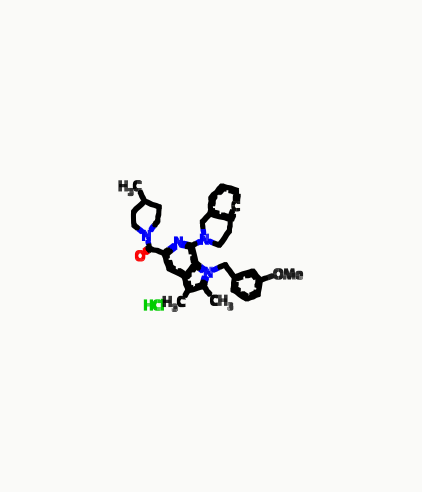 COc1cccc(Cn2c(C)c(C)c3cc(C(=O)N4CCC(C)CC4)nc(N4CCc5ccccc5C4)c32)c1.Cl